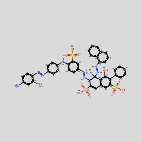 Nc1ccc(N=Nc2ccc(Nc3ccc(N=NC4C(S(=O)(=O)O)=Cc5cc(S(=O)(=O)O)c(-c6ccccc6)c(O)c5C4(N)N=Nc4cccc5ccccc45)cc3S(=O)(=O)O)cc2)c(N)c1